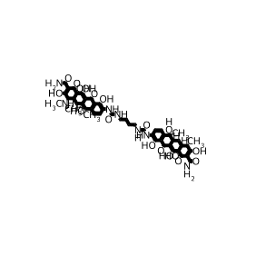 C[C@@H]1C(O)=C(C(N)=O)C(=O)[C@@]2(O)C(O)=C3C(=O)c4c(ccc(NC(=O)NCCCCNC(=O)Nc5ccc6c(c5O)C(=O)C5=C(O)[C@]7(O)C(=O)C(C(N)=O)=C(O)[C@@H](N(C)C)[C@@H]7C[C@@H]5[C@]6(C)O)c4O)[C@@](C)(O)[C@H]3C[C@@H]12